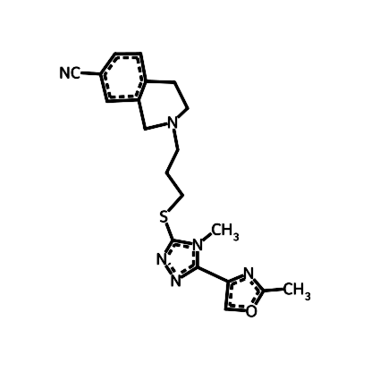 Cc1nc(-c2nnc(SCCCN3CCc4ccc(C#N)cc4C3)n2C)co1